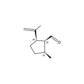 C=C(C)[C@@H]1CC[C@H](C)[C@@H]1C=O